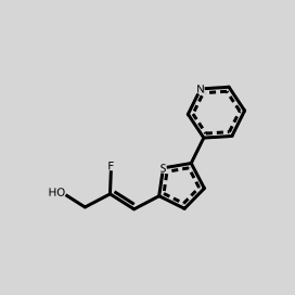 OCC(F)=Cc1ccc(-c2cccnc2)s1